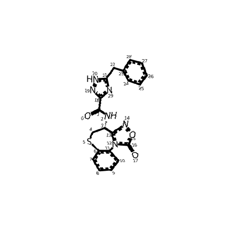 O=C(N[C@H]1CSc2ccccc2-n2c1noc2=O)c1n[nH]c(Cc2ccccc2)n1